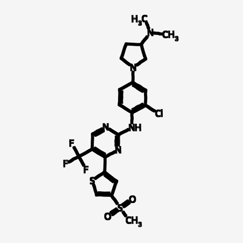 CN(C)C1CCN(c2ccc(Nc3ncc(C(F)(F)F)c(-c4cc(S(C)(=O)=O)cs4)n3)c(Cl)c2)C1